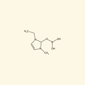 CCN1C=CN(C)C1OB(O)O